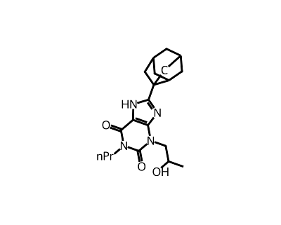 CCCn1c(=O)c2[nH]c(C34CC5CC(CC3C5)C4)nc2n(CC(C)O)c1=O